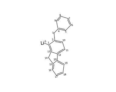 [Li][c]1c(Cc2ccccc2)ccc2c1Cc1ccccc1-2